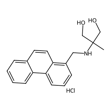 CC(CO)(CO)NCc1cccc2c1ccc1ccccc12.Cl